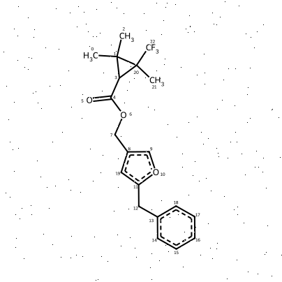 CC1(C)C(C(=O)OCc2coc(Cc3ccccc3)c2)C1(C)C(F)(F)F